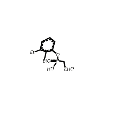 CCc1cccc(OP(=O)(O)CC=O)c1CC